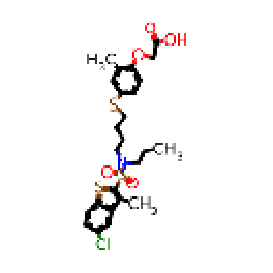 CCCN(CCCCSc1ccc(OCC(=O)O)c(C)c1)S(=O)(=O)c1sc2ccc(Cl)cc2c1C